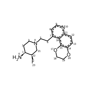 N[C@H]1CCN(CCc2ccnc3ccc4c(c23)OCCO4)C[C@H]1F